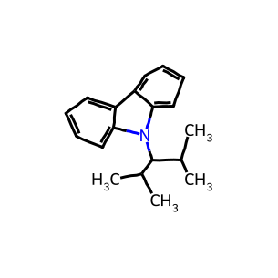 CC(C)C(C(C)C)n1c2ccccc2c2ccccc21